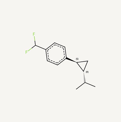 CC(C)[C@H]1C[C@@H]1c1ccc(C(F)F)cc1